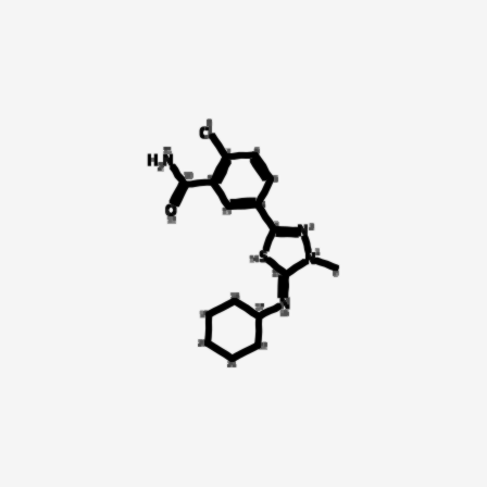 Cn1nc(-c2ccc(Cl)c(C(N)=O)c2)sc1=NC1CCCCC1